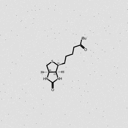 CCC(C)C(=O)CCCC[C@@H]1SC[C@@H]2NC(=O)N[C@@H]21